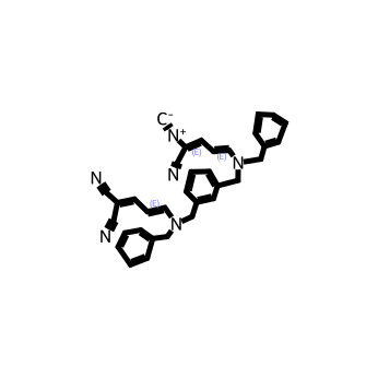 [C-]#[N+]/C(C#N)=C/C=C/N(Cc1ccccc1)Cc1cccc(CN(/C=C/C=C(C#N)C#N)Cc2ccccc2)c1